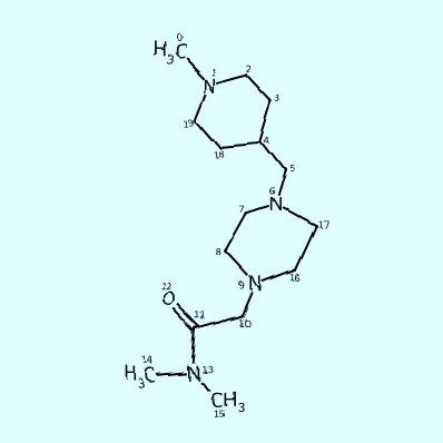 CN1CCC(CN2CCN(CC(=O)N(C)C)CC2)CC1